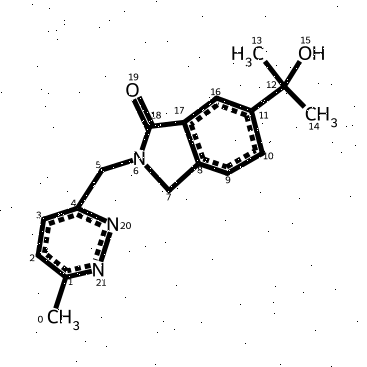 Cc1ccc(CN2Cc3ccc(C(C)(C)O)cc3C2=O)nn1